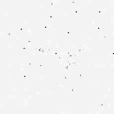 CC(C)(C)Nc1ncc(N)c(NCC2CCN(C(=O)OC(C)(C)C)C2)n1